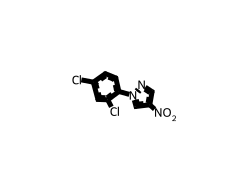 O=[N+]([O-])c1cnn(-c2ccc(Cl)cc2Cl)c1